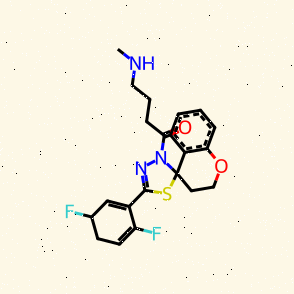 CNCCCC(=O)N1N=C(C2=CC(F)CC=C2F)SC12CCOc1ccccc12